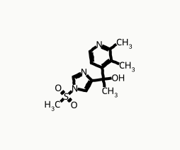 Cc1nccc(C(C)(O)c2cn(S(C)(=O)=O)cn2)c1C